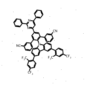 N#Cc1cccc(-c2cc(-c3cc(-c4ccccc4)nc(-c4ccccc4)n3)cc(-c3cccc(C#N)c3)c2-n2c3ccc(-c4ccc(C(F)(F)F)cc4C(F)(F)F)cc3c3cc(-c4ccc(C(F)(F)F)cc4C(F)(F)F)ccc32)c1